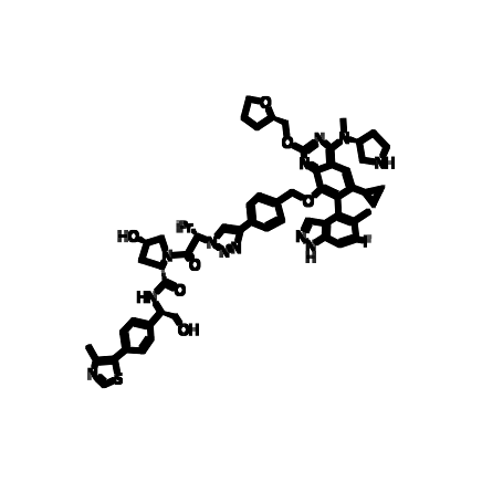 Cc1ncsc1-c1ccc([C@H](CO)NC(=O)[C@@H]2C[C@@H](O)CN2C(=O)[C@H](C(C)C)n2cc(-c3ccc(COc4c(-c5c(C)c(F)cc6[nH]ncc56)c(C5CC5)cc5c(N(C)[C@H]6CCNC6)nc(OC[C@H]6CCCO6)nc45)cc3)nn2)cc1